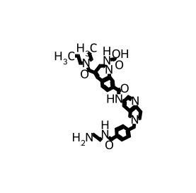 CCCN(CCC)C(=O)C1=Cc2ccc(C(=O)Nc3cnc4c(c3)CN(Cc3ccc(C(=O)NCCN)cc3)CC4)cc2N=C(NC(=O)O)C1